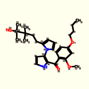 CCCCOc1ccc(C(=O)c2[nH]ccc2-n2cccc2CCC(C)(C)[Si](C)(C)O)c(OC)c1